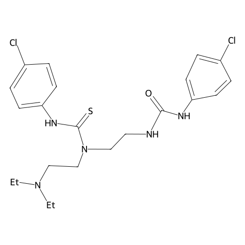 CCN(CC)CCN(CCNC(=O)Nc1ccc(Cl)cc1)C(=S)Nc1ccc(Cl)cc1